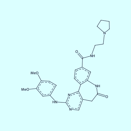 COc1ccc(Nc2ncc3c(n2)-c2ccc(C(=O)NCCN4CCCC4)cc2NC(=O)C3)cc1OC